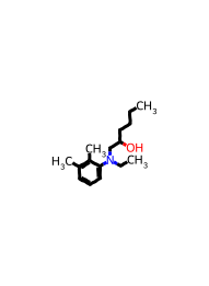 CCCCC(O)CN(CC)c1cccc(C)c1C